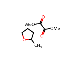 CC1CCCO1.COC(=O)C(=O)OC